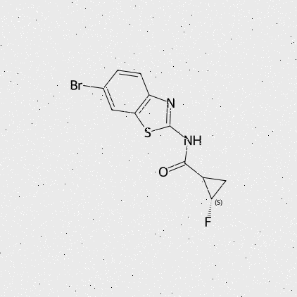 O=C(Nc1nc2ccc(Br)cc2s1)C1C[C@@H]1F